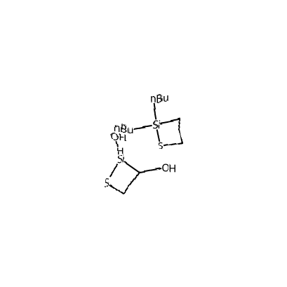 CCCC[Si]1(CCCC)CCS1.OC1CS[SiH]1O